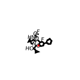 O=C([C@@H](O)C1CC1)N1CC2(CC2)[C@H](NS(=O)(=O)CF)[C@@H]1Cc1cccc(-c2ccccc2)c1F